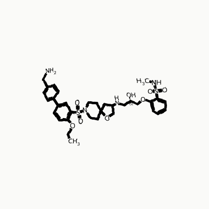 CCOc1ccc(-c2ccc(CN)cc2)cc1S(=O)(=O)N1CCC2(CC1)CC(NC[C@H](O)COc1ccccc1S(=O)(=O)NC)CO2